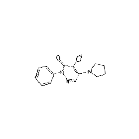 O=c1c(Cl)c(N2CCCC2)cnn1-c1ccccc1